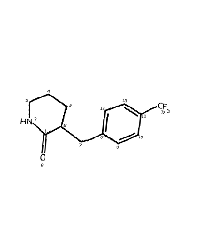 O=C1NCCCC1Cc1ccc(C(F)(F)F)cc1